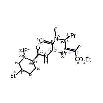 CCOC(=O)/C(C)=C/[C@H](C(C)C)N(C)C(=O)[C@@H](NC(=O)[C@H]1CCC(CC)CN1C(C)C)C(C)C